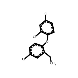 CCc1cc(Cl)ccc1Oc1ccc(Cl)cc1Cl